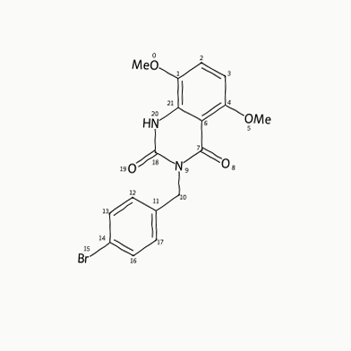 COc1ccc(OC)c2c(=O)n(Cc3ccc(Br)cc3)c(=O)[nH]c12